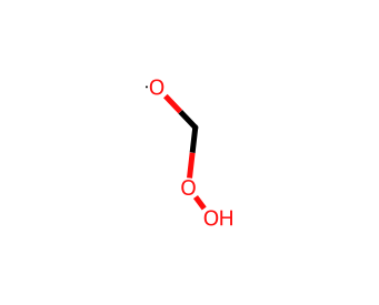 [O]COO